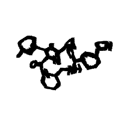 Cc1cccc(-c2sc(C3CC3)nc2C(=O)N2CCCCC2CNC(=O)c2cccc(C#N)c2)c1